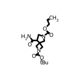 C=CCOC(=O)N1CC(C(N)=O)C2(C1)CN(C(=O)OC(C)(C)C)C2